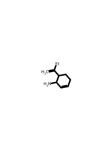 C=C(CC)C1CCC=CC1N